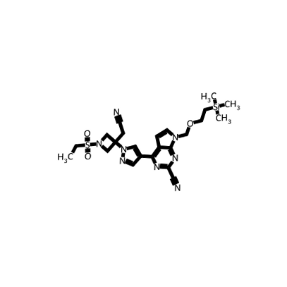 CCS(=O)(=O)N1CC(CC#N)(n2cc(-c3nc(C#N)nc4c3ccn4COCC[Si](C)(C)C)cn2)C1